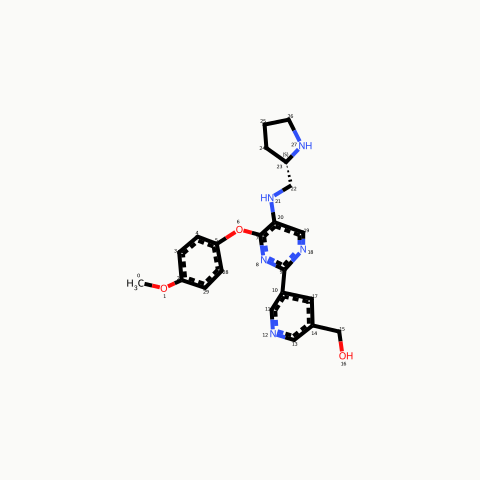 COc1ccc(Oc2nc(-c3cncc(CO)c3)ncc2NC[C@@H]2CCCN2)cc1